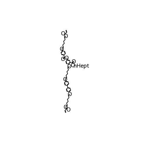 C=CC(=O)OCCCCCCOc1ccc(C(=O)Oc2ccc(OCCCCCCOc3ccc(-c4ccc(OCCCCCCOC(=O)C=C)cc4)cc3)c(C(=O)OCCCCCCC)c2)cc1